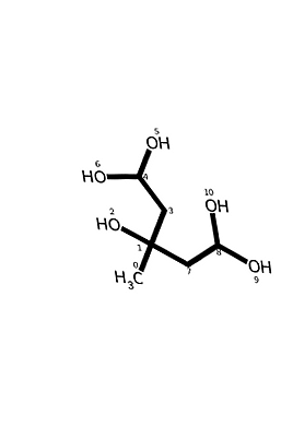 CC(O)(CC(O)O)CC(O)O